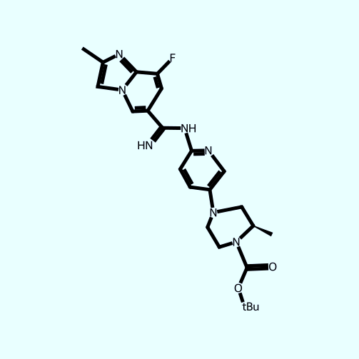 Cc1cn2cc(C(=N)Nc3ccc(N4CCN(C(=O)OC(C)(C)C)[C@H](C)C4)cn3)cc(F)c2n1